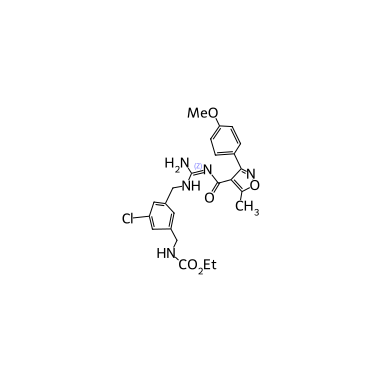 CCOC(=O)NCc1cc(Cl)cc(CN/C(N)=N\C(=O)c2c(-c3ccc(OC)cc3)noc2C)c1